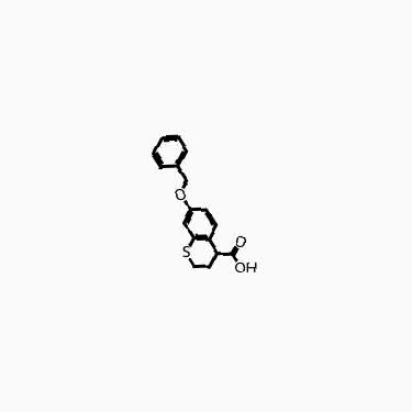 O=C(O)C1CCSc2cc(OCc3ccccc3)ccc21